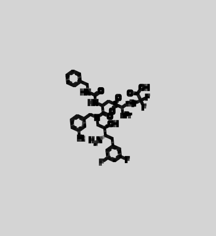 CCCC(CCC)S(=O)(=O)CC(NC(=O)NCc1ccccc1)C(=O)N(Cc1cccc(CC)c1)C[C@@H](O)[C@@H](N)Cc1cc(F)cc(F)c1.O=C(O)C(F)(F)F